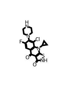 O=c1[nH]sc2c1c(=O)c1cc(F)c(N3CCNCC3)c(Cl)c1n2C1CC1